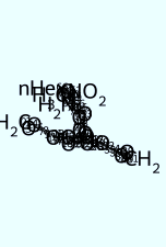 C=CC(=O)OCCCCCCOc1ccc(OC(=O)c2ccc(C(=O)Oc3ccc(OCCCCCCOC(=O)C=C)cc3)c(C(=O)OCCCOC(=O)c3ccc(-c4cc([N+](=O)[O-])c(O[C@@H](C)CCCCCC)cc4N)cc3)c2)cc1